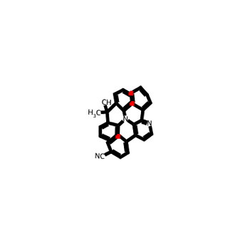 CC1(C)c2ccccc2N(c2c(-c3ccc(C#N)cc3)ccnc2-c2ccccc2)c2ccccc21